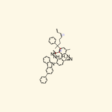 C=C/C=C\CCC(C)(/C=C\C(=C)Nc1c(-n2c3ccccc3c3cc(-c4ccccc4)ccc32)ccc(C#N)c1-c1c(C#N)ccc(C)c1N)c1ccccc1